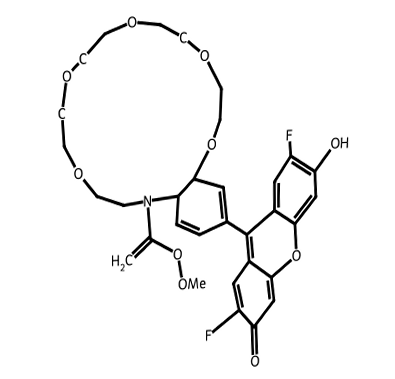 C=C(OOC)N1CCOCCOCCOCCOCCOC2C=C(c3c4cc(F)c(=O)cc-4oc4cc(O)c(F)cc34)C=CC21